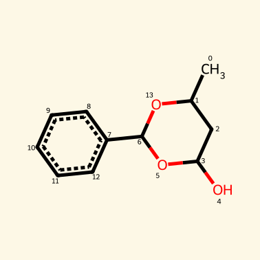 CC1CC(O)OC(c2ccccc2)O1